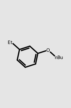 CCCCOc1cccc(CC)c1